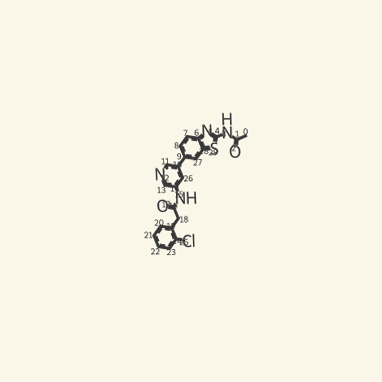 CC(=O)Nc1nc2ccc(-c3cncc(NC(=O)Cc4ccccc4Cl)c3)cc2s1